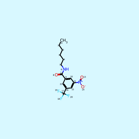 CCCCCCNC(=O)c1cc([N+](=O)[O-])cc(C(F)(F)F)c1